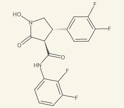 O=C(Nc1cccc(F)c1F)[C@H]1C(=O)N(O)C[C@@H]1c1ccc(F)c(F)c1